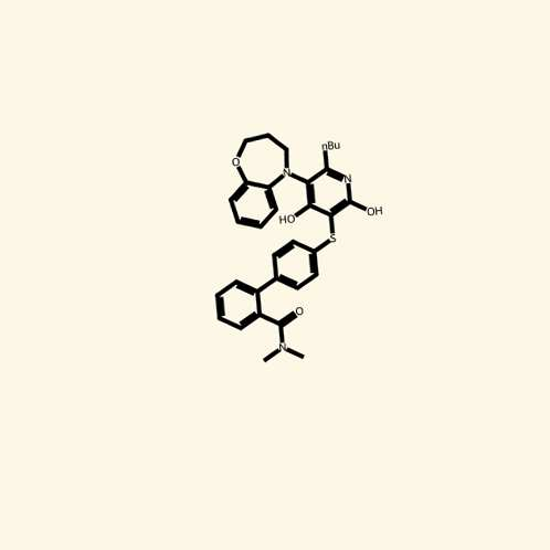 CCCCc1nc(O)c(Sc2ccc(-c3ccccc3C(=O)N(C)C)cc2)c(O)c1N1CCCOc2ccccc21